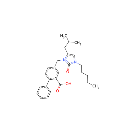 CCCCCn1cc(CC(C)C)n(Cc2ccc(-c3ccccc3)c(C(=O)O)c2)c1=O